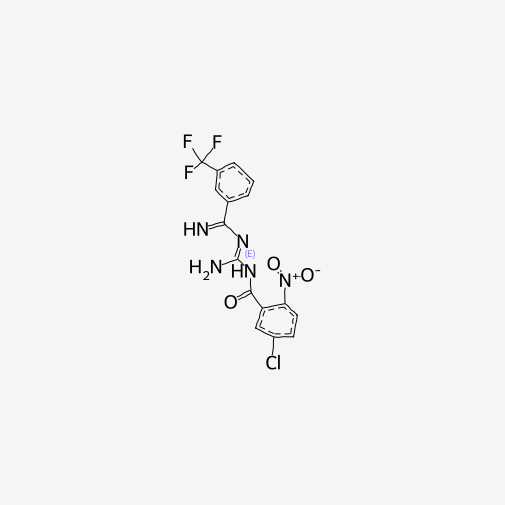 N=C(/N=C(\N)NC(=O)c1cc(Cl)ccc1[N+](=O)[O-])c1cccc(C(F)(F)F)c1